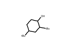 CC(C)(C)C1CCC(O)C(C(C)(C)C)C1